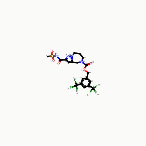 CS(=O)(=O)NC(=O)c1cc2n(n1)CCCN(C(=O)OCc1cc(C(F)(F)F)cc(C(F)(F)F)c1)C2